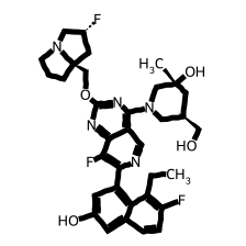 CCc1c(F)ccc2cc(O)cc(-c3ncc4c(N5C[C@H](CO)C[C@@](C)(O)C5)nc(OC[C@@]56CCCN5C[C@H](F)C6)nc4c3F)c12